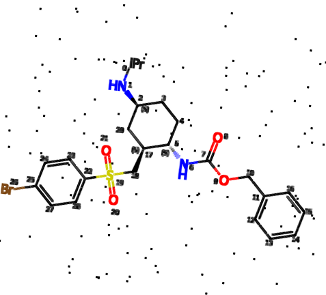 CC(C)N[C@H]1CC[C@H](NC(=O)OCc2ccccc2)[C@@H](CS(=O)(=O)c2ccc(Br)cc2)C1